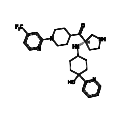 O=C(C1CCN(c2cc(C(F)(F)F)ccn2)CC1)[C@]1(NC2CCC(O)(c3ccccn3)CC2)CCNC1